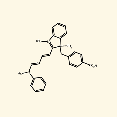 CCCC[N+]1=C(/C=C/C=C/N(C(C)=O)c2ccccc2)C(C)(Cc2ccc(C(=O)O)cc2)c2ccccc21